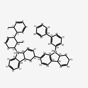 CC1C=CC=CC1C1C=CCC(N2c3ccccc3C3CC(c4ccc5c(c4)N(c4cccc(-c6ccccc6)c4)C4CCC=CC54)C=CC32)C1C